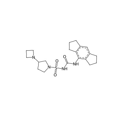 O=C(Nc1c2c(cc3c1CCC3)CCC2)NS(=O)(=O)N1CCC(N2CCC2)C1